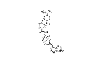 CN(C)[C@@H]1CCCN(Cc2ccc(C(=O)N[C@@H]3C4Oc5ccc(Oc6ccnc7c6CCC(=O)N7)cc5[C@H]43)cc2C(F)(F)F)C1